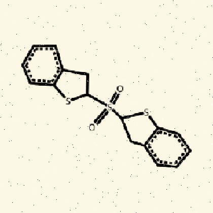 O=S(=O)(C1Cc2ccccc2S1)C1Cc2ccccc2S1